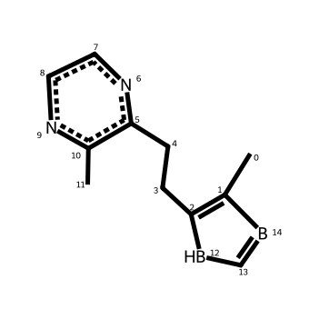 CC1=C(CCc2nccnc2C)BC=B1